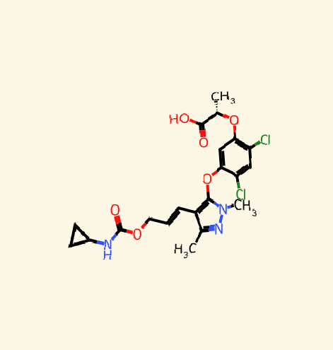 Cc1nn(C)c(Oc2cc(O[C@@H](C)C(=O)O)c(Cl)cc2Cl)c1C=CCOC(=O)NC1CC1